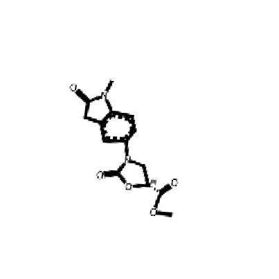 COC(=O)[C@H]1CN(c2ccc3c(c2)CC(=O)N3C)C(=O)O1